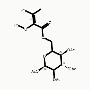 CC(=O)OC1[C@@H](OC(C)=O)OC(COC(=O)/C(OC(C)C)=C(\C)C(C)C)[C@@H](OC(C)=O)[C@@H]1OC(C)=O